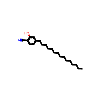 CCCCCCCCCCCCCCCc1ccc(C#N)c(O)c1